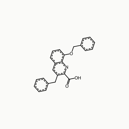 O=C(O)c1nc2c(OCc3ccccc3)cccc2cc1Cc1ccccc1